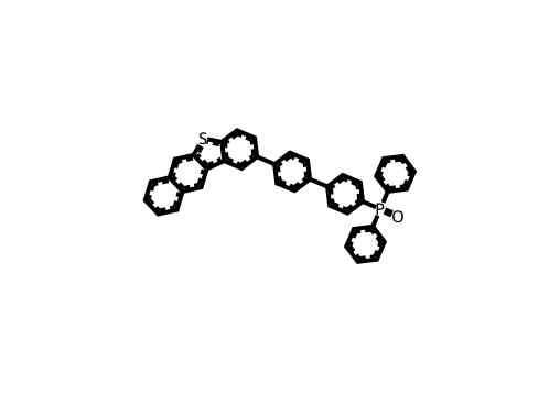 O=P(c1ccccc1)(c1ccccc1)c1ccc(-c2ccc(-c3ccc4sc5cc6ccccc6cc5c4c3)cc2)cc1